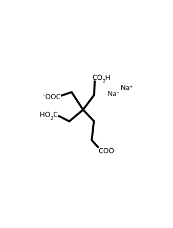 O=C([O-])CCC(CC(=O)[O-])(CC(=O)O)CC(=O)O.[Na+].[Na+]